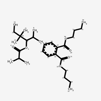 CC(C)C(=O)OC(C(C)C)C(C)(C)CO.CCCCOC(=O)c1ccccc1C(=O)OCCCC